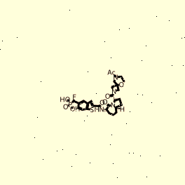 CC(=O)N1CCOC2(C1)CN(C(=O)[C@@H]1CC[C@@H]3CCC[C@H](NC(=O)c4cc5cc(C(F)P(=O)(O)O)ccc5s4)C(=O)N31)C2